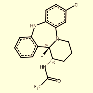 O=C(N[C@H]1CCCN2c3cc(Cl)ccc3Nc3ccccc3[C@@H]12)C(F)(F)F